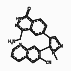 Cn1ncc(-c2ccc3c(=O)[nH]nc(CN)c3c2)c1-c1cc2ncccc2cc1C#N